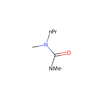 CCCN(C)C(=O)[N]C